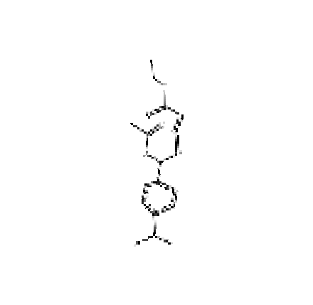 CCOC(=O)C=C=CC(OC(C)=O)c1ccc(C(C)C)cc1